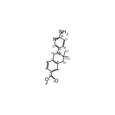 COC(=O)c1ccc2c(c1)CC(C)(C)N(c1ccc(N)nc1)C2